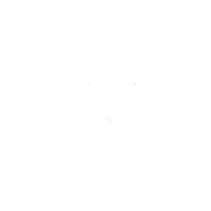 COC1COc2cscc2OC1